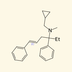 CCC(C/C=C/c1ccccc1)(c1ccccc1)N(C)CC1CC1